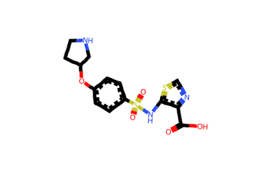 O=C(O)c1ncsc1NS(=O)(=O)c1ccc(OC2CCNC2)cc1